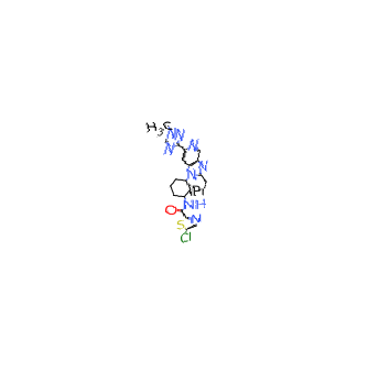 CC(C)Cc1nc2cnc(-c3ncn(C)n3)cc2n1[C@@H]1CCC[C@H](NC(=O)c2ncc(Cl)s2)C1